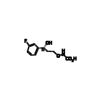 O=C(O)NOCC[C@@H](O)c1cccc(F)c1